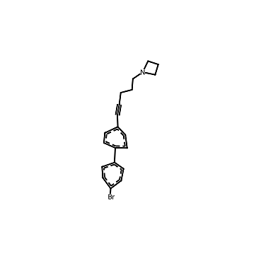 Brc1ccc(-c2ccc(C#CCCCN3CCC3)cc2)cc1